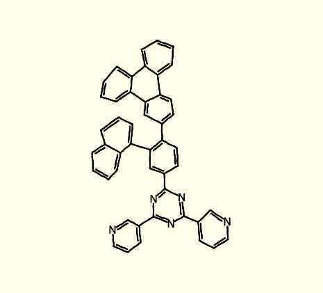 c1cncc(-c2nc(-c3cccnc3)nc(-c3ccc(-c4ccc5c6ccccc6c6ccccc6c5c4)c(-c4cccc5ccccc45)c3)n2)c1